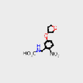 O=C(O)NCc1cc(OC2CCOC2)ccc1[N+](=O)[O-]